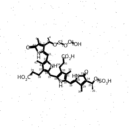 CC1=C([C@@H](C)OSOOO)/C(=C/c2[nH]c(Cc3[nH]c(/C=C4\NC(=O)C([C@H](C)OS(=O)(=O)O)=C4C)c(C)c3CCC(=O)O)c(CCC(=O)O)c2C)NC1=O